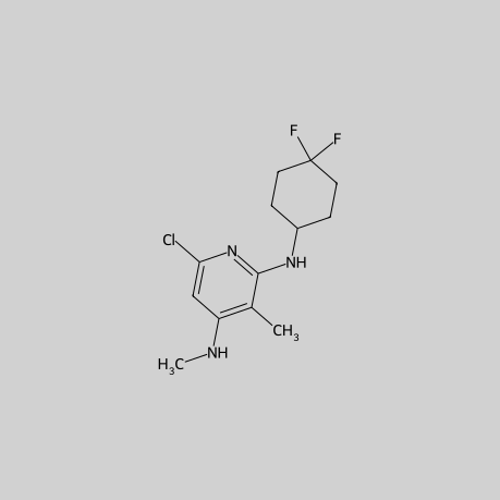 CNc1cc(Cl)nc(NC2CCC(F)(F)CC2)c1C